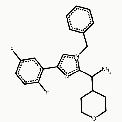 NC(c1nc(-c2cc(F)ccc2F)cn1Cc1ccccc1)C1CCOCC1